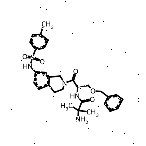 Cc1ccc(S(=O)(=O)Nc2ccc3c(c2)CN(C(=O)[C@@H](COCc2ccccc2)NC(=O)C(C)(C)N)CC3)cc1